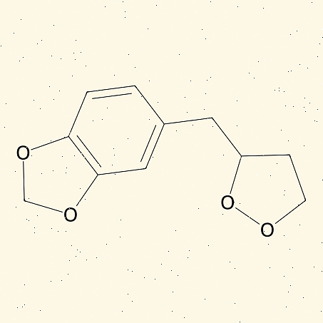 c1cc2c(cc1CC1CCOO1)OCO2